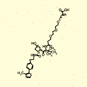 Cc1ncsc1-c1ccc(CCNC(=O)[C@@H]2C[C@@H](O)CN2C(=O)[C@@H](NC(=O)CCOCCOCCOCCNC(=O)O)C(C)(C)C)cc1